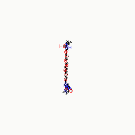 CC(CC(=O)N(C=O)Cc1cn(CCOCCOCCOCCOCCOCCOCCOCCNC(O)N2CC[C@H](C)C2)nn1)N(C)C